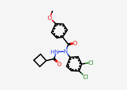 COc1ccc(C(=O)N(NC(=O)C2CCC2)c2ccc(Cl)c(Cl)c2)cc1